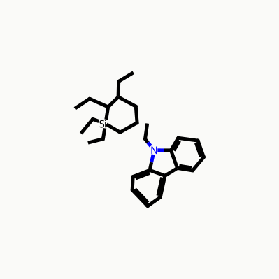 CCC1CCC[Si](CC)(CC)C1CC.CCn1c2ccccc2c2ccccc21